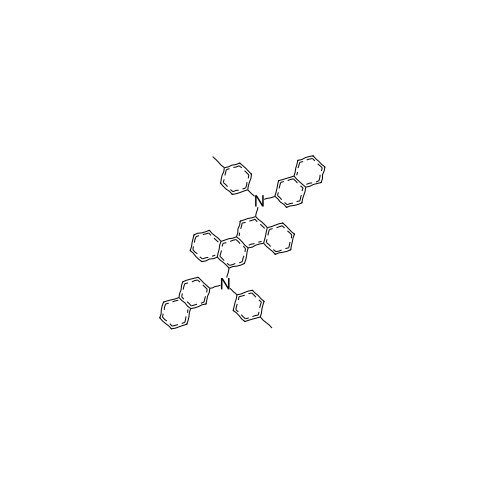 Cc1ccc(N(c2ccc3ccccc3c2)c2cc3c4ccccc4c(N(c4ccc(C)cc4)c4ccc5ccccc5c4)cc3c3ccccc23)cc1